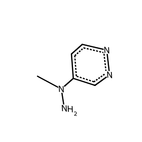 CN(N)c1ccnnc1